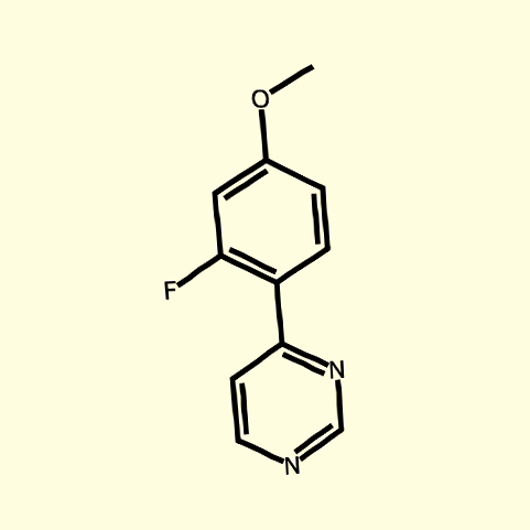 COc1ccc(-c2ccncn2)c(F)c1